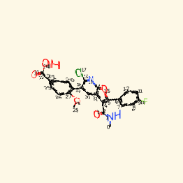 CNC(=O)c1c(-c2ccc(F)cc2)oc2nc(Cl)c(-c3cc(C(=O)O)ccc3OC)cc12